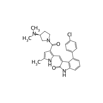 Cc1cc(C(=O)N2CC[C@H](N(C)C)C2)c(C=C2C(=O)Nc3cccc(-c4ccc(Cl)cc4)c32)[nH]1